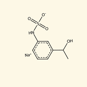 CC(O)c1cccc(NS(=O)(=O)[O-])c1.[Na+]